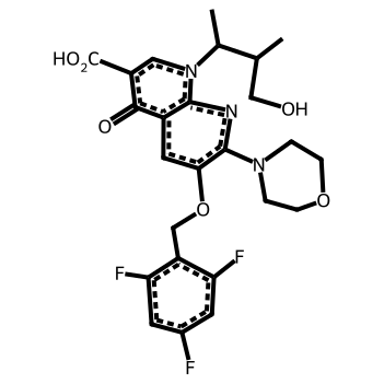 CC(CO)C(C)n1cc(C(=O)O)c(=O)c2cc(OCc3c(F)cc(F)cc3F)c(N3CCOCC3)nc21